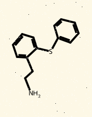 NCCc1ccccc1Sc1ccccc1